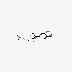 C=C1/C(=C\C=C2/CCC[C@]3(C)[C@@H]([C@H](C)CCCC(C)C)CC[C@@H]23)C[C@@H](O)[C@@H](CC)[C@@H]1O